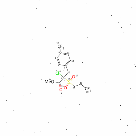 COC(=O)C(Cl)(Cc1ccc(C(F)(F)F)cc1)S(=O)(=O)CCC(F)(F)F